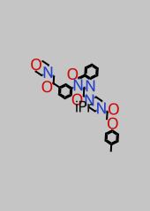 Cc1ccc(OCC(=O)N2CCN(Cc3nc4ccccc4c(=O)n3-c3cc(C(=O)CN4CCOCC4)ccc3OC(C)C)CC2)cc1